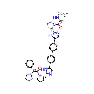 C[C@H](NC(=O)O)C(=O)N1CCC[C@H]1c1ncc(-c2ccc(-c3ccc(-c4cnc([C@@H]5CCCN5C(=O)[C@@H](c5ccccc5)N5CCCC5)[nH]4)cc3)cc2)[nH]1